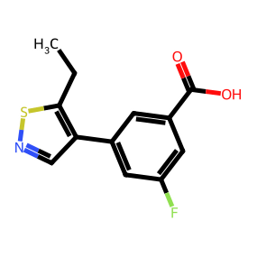 CCc1sncc1-c1cc(F)cc(C(=O)O)c1